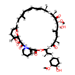 CO[C@@H]1C[C@H](C[C@@H](C)[C@@H]2CC(=O)[C@H](C)/C=C(\C)[C@@H](O)[C@@H](OC)C(=O)[C@H](C)C[C@H](C)/C=C/C=C/C=C(\C)CC[C@@H]3CC[C@H]4O[C@]4(O3)C(=O)C(=O)N3CCCC[C@H]3C(=O)O2)CC[C@H]1O